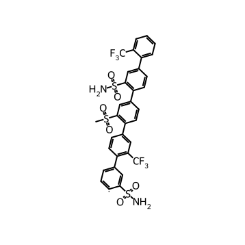 CS(=O)(=O)c1cc(-c2ccc(-c3ccccc3C(F)(F)F)cc2S(N)(=O)=O)ccc1-c1ccc(-c2cc[c]c(S(N)(=O)=O)c2)c(C(F)(F)F)c1